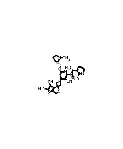 C[C@H](c1cccnc1N)N(C)c1nc(OC[C@@H]2CCCN2C)nc(N2CC3(C2)SCc2sc(N)c(C#N)c23)c1C#N